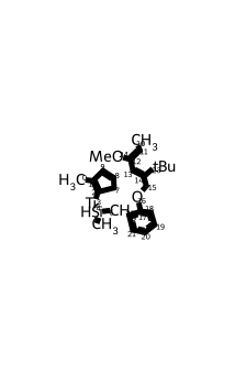 CC1=[C]([Ti][SiH](C)C)CC=C1.CC=C(C=C(COc1ccccc1)C(C)(C)C)OC